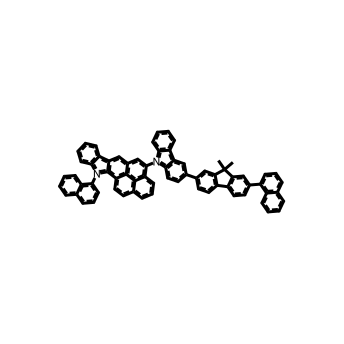 CC1(C)c2cc(-c3ccc4c(c3)c3ccccc3n4-c3cc4cc5c6ccccc6n(-c6cccc7ccccc67)c5c5ccc6cccc3c6c45)ccc2-c2ccc(-c3cccc4ccccc34)cc21